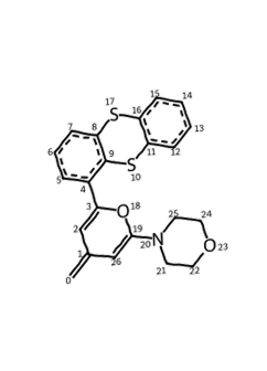 C=C1C=C(c2cccc3c2Sc2ccccc2S3)OC(N2CCOCC2)=C1